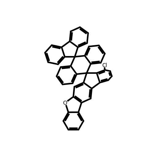 Clc1cccc2c1C1(c3cc4oc5ccccc5c4cc3-2)c2ccccc2C2(c3ccccc3-c3ccccc32)c2ccccc21